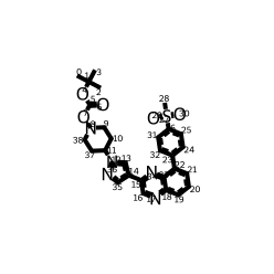 CC(C)(C)OC(=O)ON1CCC(n2cc(-c3cnc4cccc(-c5ccc(S(C)(=O)=O)cc5)c4n3)cn2)CC1